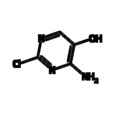 Nc1nc(Cl)ncc1O